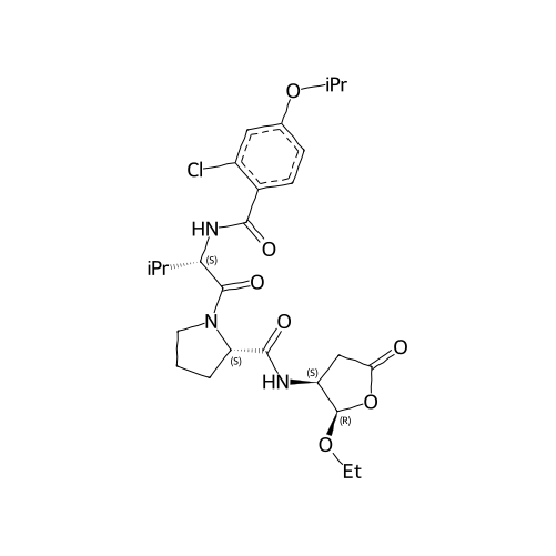 CCO[C@@H]1OC(=O)C[C@@H]1NC(=O)[C@@H]1CCCN1C(=O)[C@@H](NC(=O)c1ccc(OC(C)C)cc1Cl)C(C)C